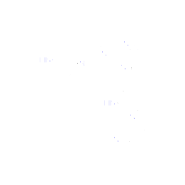 CNC1CN(c2cc(CNc3cnccn3)nc(N)n2)C1